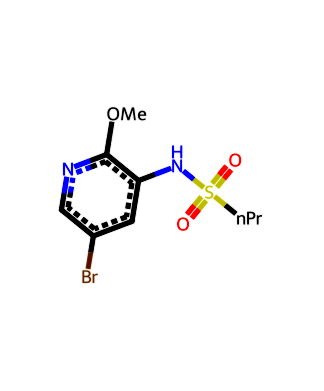 CCCS(=O)(=O)Nc1cc(Br)cnc1OC